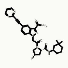 CC1(C)CCCC(NC(=O)[C@@H]2C[C@@H](F)CN2C(=O)Cn2nc(C(N)=O)c3cc(C#Cc4ncccn4)ccc32)C1